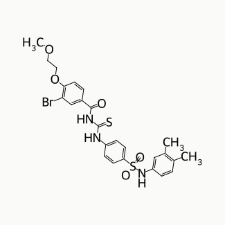 COCCOc1ccc(C(=O)NC(=S)Nc2ccc(S(=O)(=O)Nc3ccc(C)c(C)c3)cc2)cc1Br